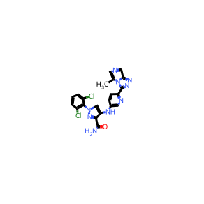 Cc1cncc2nnc(-c3ccc(Nc4cn(-c5c(Cl)cccc5Cl)nc4C(N)=O)cn3)n12